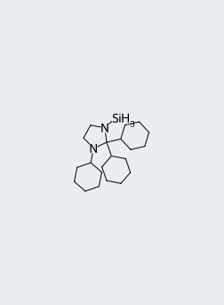 [SiH3]N1CCN(C2CCCCC2)C1(C1CCCCC1)C1CCCCC1